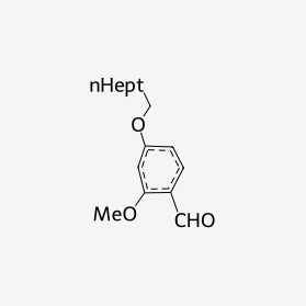 CCCCCCCCOc1ccc(C=O)c(OC)c1